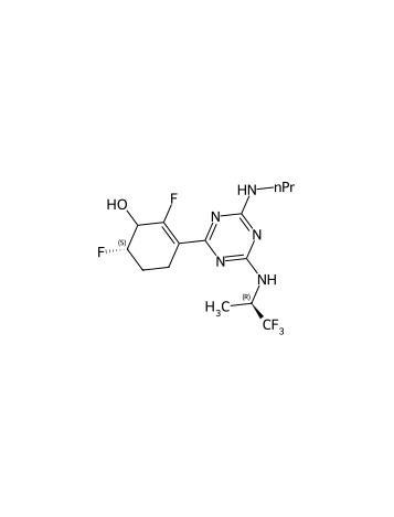 CCCNc1nc(N[C@H](C)C(F)(F)F)nc(C2=C(F)C(O)[C@@H](F)CC2)n1